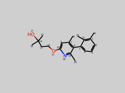 Cc1cccc(-c2c(C)cc(OCCC(C)(C)O)nc2C)c1C